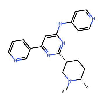 CC(=O)N1C[C@H](c2nc(Nc3ccncc3)cc(-c3cccnc3)n2)CC[C@@H]1C